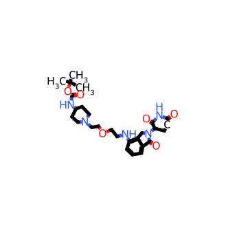 CC(C)(C)OC(=O)NC1CCN(CCOCCNc2cccc3c2CN(C2CCC(=O)NC2=O)C3=O)CC1